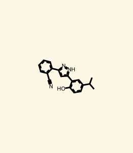 CC(C)c1ccc(O)c(-c2cc(-c3ccccc3C#N)n[nH]2)c1